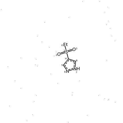 CCS(=O)(=O)c1cn[nH]c1